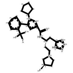 O=C(N[C@@H](CCN1CC[C@@H](F)C1)Cc1nnn[nH]1)c1cc(-c2ccccc2C(F)(F)F)n(C2CCCC2)n1